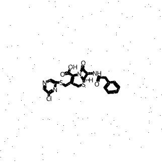 O=C(Cc1ccccc1)NC1C(=O)N2C(C(=O)O)=C(CSc3cncc(Cl)n3)CS[C@H]12